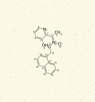 CC(c1ncccc1O)=[N+](Cl)OCc1cccc2ccccc12